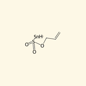 C=CCO[S](=O)(=O)[SnH]